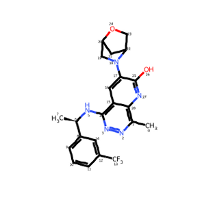 Cc1nnc(N[C@H](C)c2cccc(C(F)(F)F)c2)c2cc(N3CC4CC3CO4)c(O)nc12